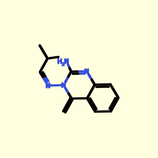 C=C1c2ccccc2N=C(N)N1/N=C\C(C)C